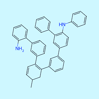 CC1C=CC(c2cccc(-c3ccccc3N)c2)=C(c2cccc(-c3ccc(Nc4ccccc4)c(-c4ccccc4)c3)c2)C1